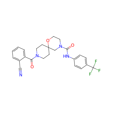 N#Cc1ccccc1C(=O)N1CCC2(CC1)CN(C(=O)Nc1ccc(C(F)(F)F)cc1)CCO2